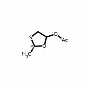 CC(=O)OC1CS[C@H](C)O1